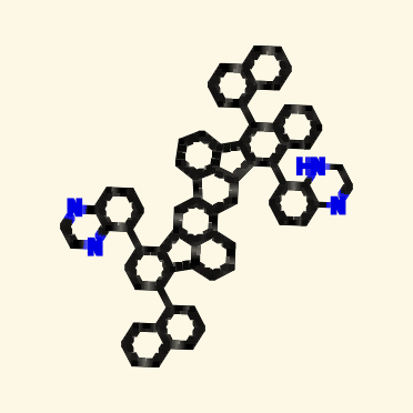 C1=Nc2cccc(-c3c4ccccc4c(-c4cccc5ccccc45)c4c5cccc6c7cc8c9c(-c%10cccc%11nccnc%10%11)ccc(-c%10cccc%11ccccc%10%11)c9c9cccc(c7cc(c34)c65)c98)c2NC1